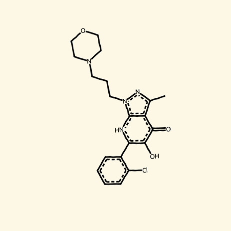 Cc1nn(CCCN2CCOCC2)c2[nH]c(-c3ccccc3Cl)c(O)c(=O)c12